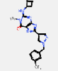 CCCn1c(NC2CCC2)nc2nc(-c3cnn(Cc4cccc(C(F)(F)F)c4)c3)[nH]c2c1=O